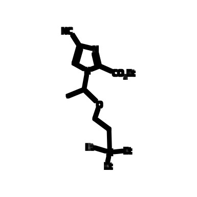 CCOC(=O)c1nc(C#N)cn1C(C)OCC[Si](CC)(CC)CC